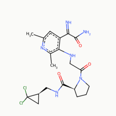 Cc1cc(C(=N)C(N)=O)c(NCC(=O)N2CCC[C@H]2C(=O)NC[C@H]2CC2(Cl)Cl)c(C)n1